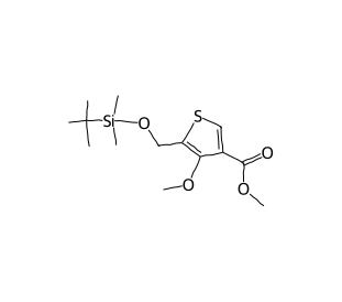 COC(=O)c1csc(CO[Si](C)(C)C(C)(C)C)c1OC